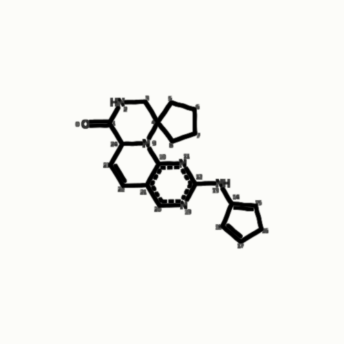 O=C1NCC2(CCCC2)N2c3nc(NC4=CCC=C4)ncc3C=CC12